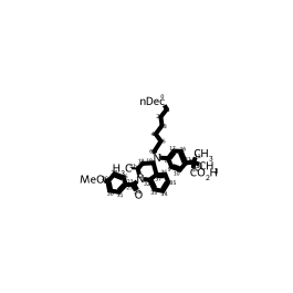 CCCCCCCCCCCCCCCCN(c1ccc(C(C)(C)C(=O)O)cc1)[C@@H]1C[C@H](C)N(C(=O)c2ccc(OC)cc2)c2ccccc21